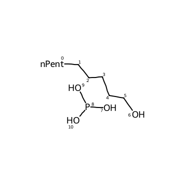 CCCCCCCCCCO.OP(O)O